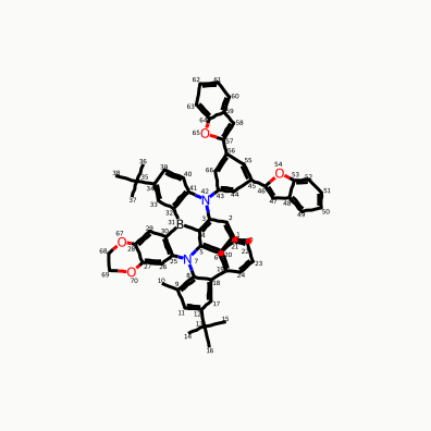 Cc1cc2c3c(c1)N(c1c(C)cc(C(C)(C)C)cc1-c1ccccc1)c1cc4c(cc1B3c1cc(C(C)(C)C)ccc1N2c1cc(-c2cc3ccccc3o2)cc(-c2cc3ccccc3o2)c1)OCCO4